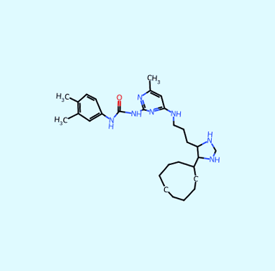 Cc1cc(NCCCC2NCNC2C2CCCCCCCC2)nc(NC(=O)Nc2ccc(C)c(C)c2)n1